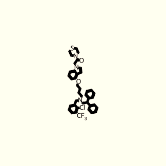 O=C(Cn1ccc2c(OCCCCN(Cc3cccc(C(F)(F)F)c3Cl)CC(c3ccccc3)c3ccccc3)cccc21)N1CCSCC1